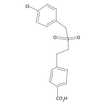 O=C(O)c1ccc(CCS(=O)(=O)Cc2ccc(Cl)cc2)cc1